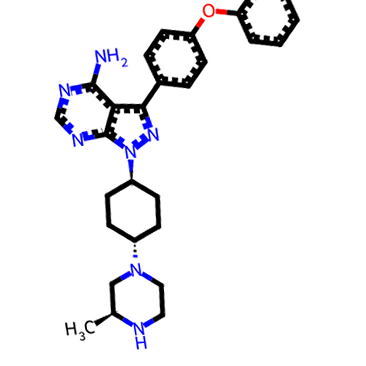 C[C@H]1CN([C@H]2CC[C@H](n3nc(-c4ccc(Oc5ccccc5)cc4)c4c(N)ncnc43)CC2)CCN1